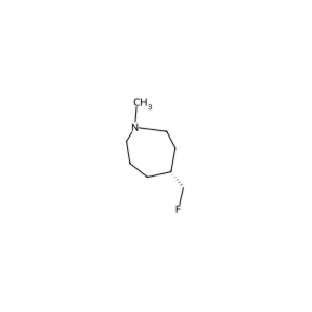 CN1CCC[C@@H](CF)CC1